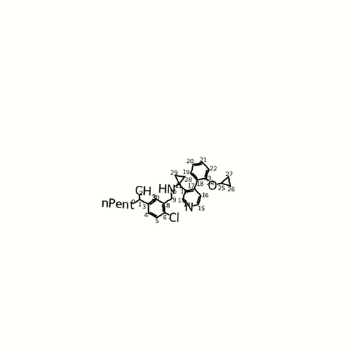 CCCCCC(C)c1ccc(Cl)c(CNC2(c3cnccc3-c3ccccc3OC3CC3)CC2)c1